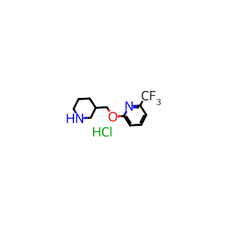 Cl.FC(F)(F)c1cccc(OCC2CCCNC2)n1